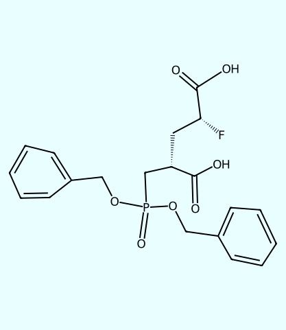 O=C(O)[C@@H](C[C@@H](F)C(=O)O)CP(=O)(OCc1ccccc1)OCc1ccccc1